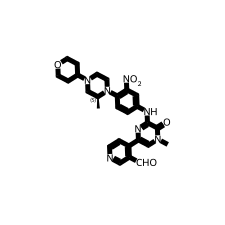 C[C@H]1CN(C2CCOCC2)CCN1c1ccc(Nc2nc(-c3ccncc3C=O)cn(C)c2=O)cc1[N+](=O)[O-]